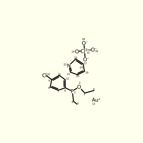 CCOP(CC)c1ccc(Cl)cc1.[Au+].[O-][Cl+3]([O-])([O-])[O-].c1ccncc1